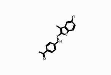 CC(=O)c1ccc(NSc2sc3ccc(Cl)cc3c2C)cc1